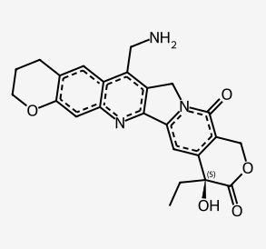 CC[C@@]1(O)C(=O)OCc2c1cc1n(c2=O)Cc2c-1nc1cc3c(cc1c2CN)CCCO3